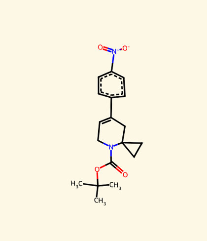 CC(C)(C)OC(=O)N1CC=C(c2ccc([N+](=O)[O-])cc2)CC12CC2